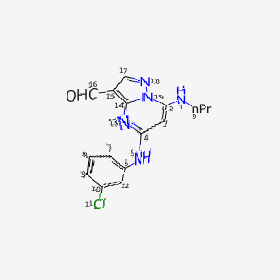 CCCNc1cc(Nc2cccc(Cl)c2)nc2c(C=O)cnn12